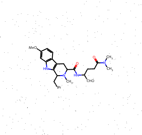 COc1ccc2c3c([nH]c2c1)C(CC(C)C)N(C)C(C(=O)NC(C=O)CCC(=O)N(C)C)C3